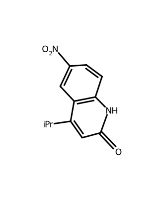 CC(C)c1cc(=O)[nH]c2ccc([N+](=O)[O-])cc12